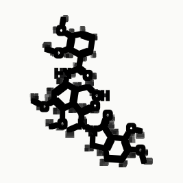 COc1cccc(C(=O)Nc2cc(OC)c(OC)c(C(=O)N(C)N3Cc4ccc(OC)c(OC)c4C3=O)c2CO)c1OC